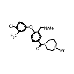 CNCc1cc(C(=O)N2CCCN(C(C)C)CC2)ccc1Oc1ccc(Cl)c(C(F)(F)F)c1